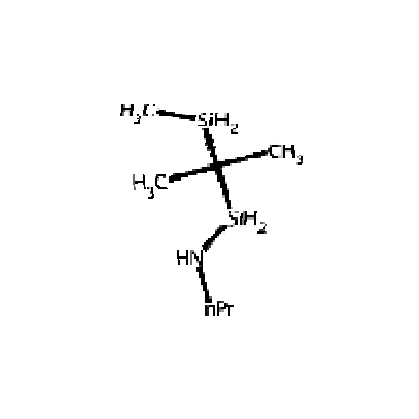 CCCN[SiH2]C(C)(C)[SiH2]C